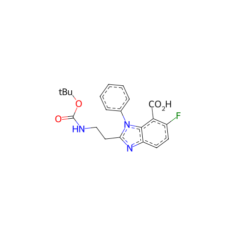 CC(C)(C)OC(=O)NCCc1nc2ccc(F)c(C(=O)O)c2n1-c1ccccc1